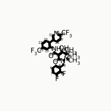 CN1N(Cc2cccc(F)c2F)C(=O)C(C(=O)Nc2cc(C(F)(F)F)ccc2-c2ccc(C(F)(F)F)nc2)=C(O)C1(C)C